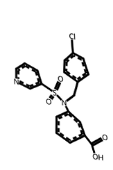 O=C(O)c1cccc(N(Cc2ccc(Cl)cc2)S(=O)(=O)c2cccnc2)c1